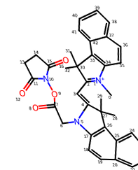 C[N+]1=C(/C=C2/N(CC(=O)ON3C(=O)CCC3=O)c3ccc4ccccc4c3C2(C)C)C(C)(C)c2c1ccc1ccccc21